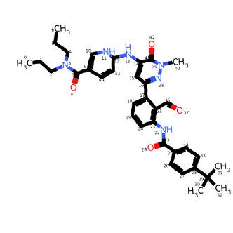 CCCN(CCC)C(=O)C1=CNC(Nc2cc(-c3cccc(NC(=O)c4ccc(C(C)(C)C)cc4)c3C=O)nn(C)c2=O)C=C1